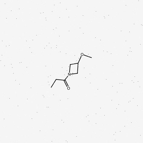 CCC(=O)N1CC(OC)C1